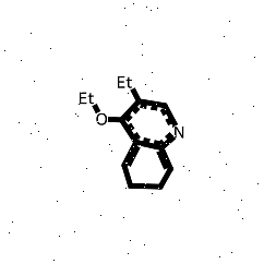 CCOc1c(CC)cnc2c1=CCCC=2